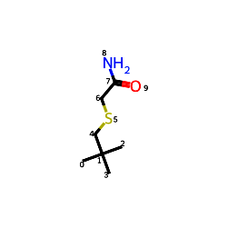 CC(C)(C)CSCC(N)=O